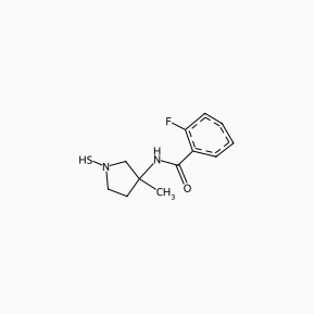 CC1(NC(=O)c2ccccc2F)CCN(S)C1